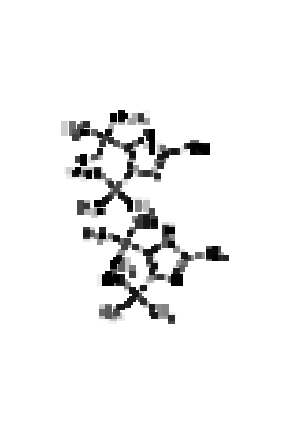 CCCCC(C)(C)c1nc(C(C)(C)C)[nH]c1C(C)(C)CCCC.CCCCCC(C)(C)c1nc(C(C)(C)C)[nH]c1C(C)(C)CCCCC